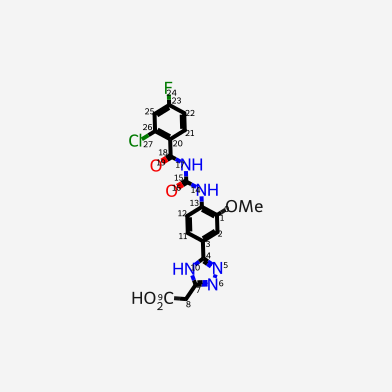 COc1cc(-c2nnc(CC(=O)O)[nH]2)ccc1NC(=O)NC(=O)c1ccc(F)cc1Cl